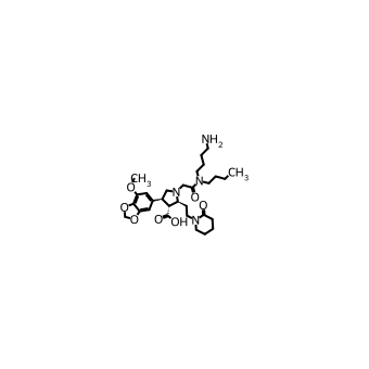 CCCCN(CCCCN)C(=O)CN1C[C@H](c2cc(OC)c3c(c2)OCO3)[C@@H](C(=O)O)[C@@H]1CCN1CCCCC1=O